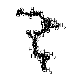 Cc1cccc2c(OC(=O)N3CCN(C)CC3)cc3c(c12)[C@H](CCl)CN3C(=O)c1cc2cc(NC(=O)c3ccc(OC(=O)N(CCOCCO)CCN(C)C(=O)OCc4ccc(NC(=O)[C@H](CCCNC(N)=O)NC(=O)[C@@H](NC(=O)OCCOCCN5C=C(CNC(=O)OCCOCCN6C(=O)C=CC6=O)NN5)C(C)C)cc4)cc3)cnc2[nH]1